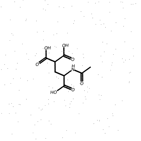 CC(=O)NC(CC(C(=O)O)C(=O)O)C(=O)O